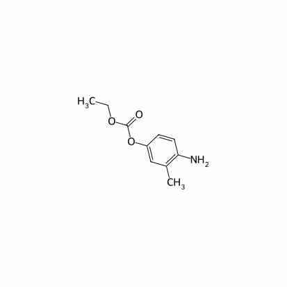 CCOC(=O)Oc1ccc(N)c(C)c1